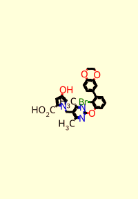 Cc1nc(Oc2cccc(-c3ccc4c(c3)OCCO4)c2Br)nc(C)c1Cn1cc(O)cc1C(=O)O